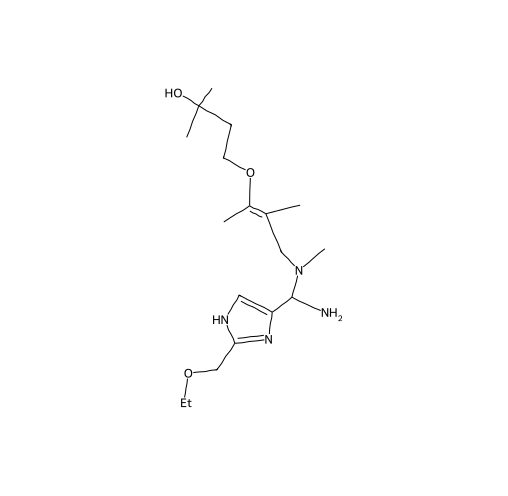 CCOCc1nc(C(N)N(C)C/C(C)=C(\C)OCCC(C)(C)O)c[nH]1